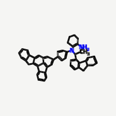 CC(c1cccc2c1-c1ccccc1C2)N(C1=C(N)CCCC1)c1ccc(-c2cc3c4c(c5c(cc4c2)-c2ccccc2C5)-c2ccccc2-3)cc1